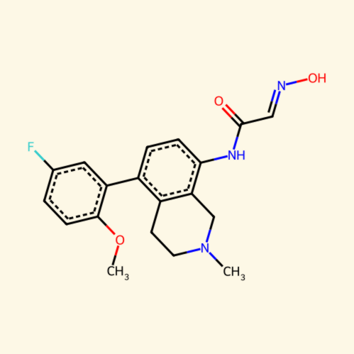 COc1ccc(F)cc1-c1ccc(NC(=O)C=NO)c2c1CCN(C)C2